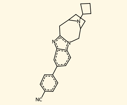 N#Cc1ccc(-c2ccc3c(c2)nc2n3CC3CCC(C2)N3C2CCC2)cc1